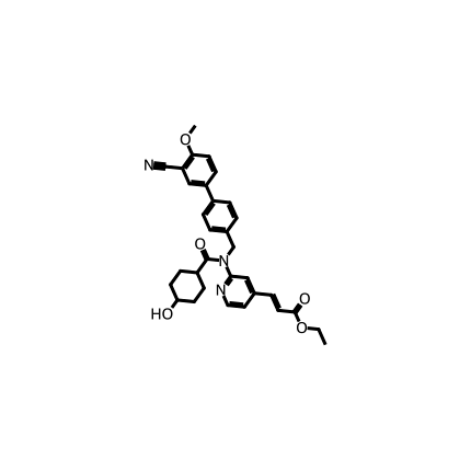 CCOC(=O)/C=C/c1ccnc(N(Cc2ccc(-c3ccc(OC)c(C#N)c3)cc2)C(=O)C2CCC(O)CC2)c1